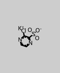 O=S(=O)([O-])c1nccnc1Cl.[K+]